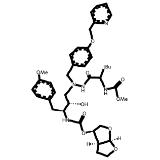 COC(=O)NC(C(=O)NN(Cc1ccc(OCc2ccccn2)cc1)C[C@H](O)[C@H](Cc1ccc(OC)cc1)NC(=O)O[C@H]1CO[C@H]2OCC[C@H]21)C(C)(C)C